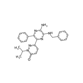 CC(C)n1nc(-c2nc(NCc3ccccc3)c(N)nc2-c2ccccc2)ccc1=O